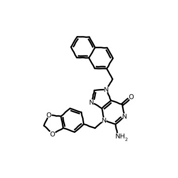 Nc1nc(=O)c2c(ncn2Cc2ccc3ccccc3c2)n1Cc1ccc2c(c1)OCO2